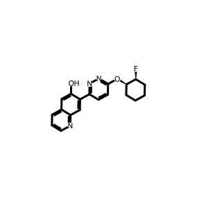 Oc1cc2cccnc2cc1-c1ccc(O[C@@H]2CCCC[C@@H]2F)nn1